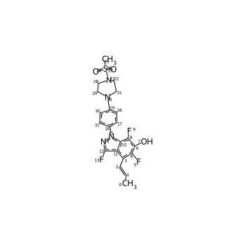 CC=Cc1c(F)c(O)c(F)c2c1c(F)nn2-c1ccc(N2CCN(S(C)(=O)=O)CC2)cc1